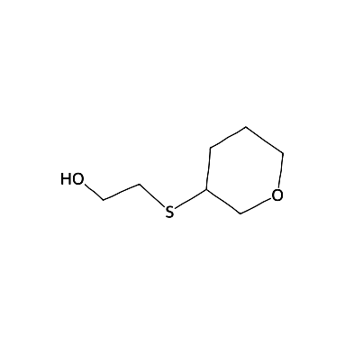 OCCSC1CCCOC1